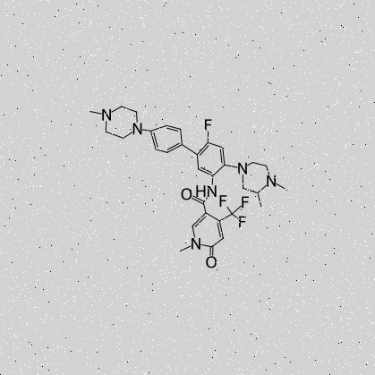 CC1CN(c2cc(F)c(-c3ccc(N4CCN(C)CC4)cc3)cc2NC(=O)c2cn(C)c(=O)cc2C(F)(F)F)CCN1C